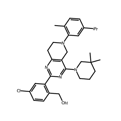 Cc1ccc(C(C)C)cc1N1CCc2nc(-c3cc(Cl)ccc3CO)nc(N3CCCC(C)(C)C3)c2C1